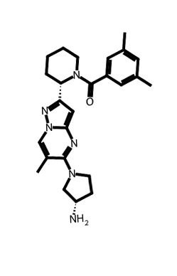 Cc1cc(C)cc(C(=O)N2CCCC[C@H]2c2cc3nc(N4CC[C@H](N)C4)c(C)cn3n2)c1